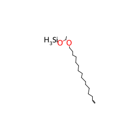 C=CCCCCCCCCCCCCCCOC(C)O[SiH3]